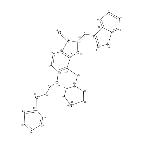 O=C1/C(=C/c2n[nH]c3ccccc23)Oc2c1ccc(OCCOc1ccccc1)c2CN1CCNCC1